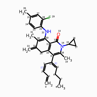 C=C/C=C\C(=C/CCC)c1c2c(c(=O)n(C3CC3)c1C)C(Nc1ccc(C)cc1F)=C(C)C(=C)C2